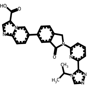 CC(C)n1cnnc1-c1cccc(N2Cc3ccc(-c4ccc5ncc(C(=O)O)n5c4)cc3C2=O)n1